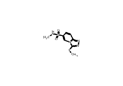 CNS(=O)(=O)c1ccc2nnc(SC)n2c1